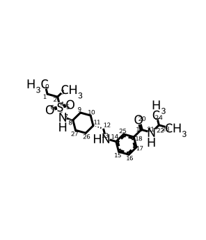 CCC(C)S(=O)(=O)N[C@H]1CC[C@H](CNc2cccc(C(=O)NC(C)C)c2)CC1